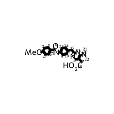 COc1ccc(C(=O)Nc2ccc(Cc3ncc(CC(=O)O)c(N(C)C)n3)cc2)cc1